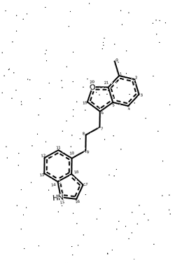 Cc1cccc2c(CC[CH]c3cccc4[nH]ccc34)coc12